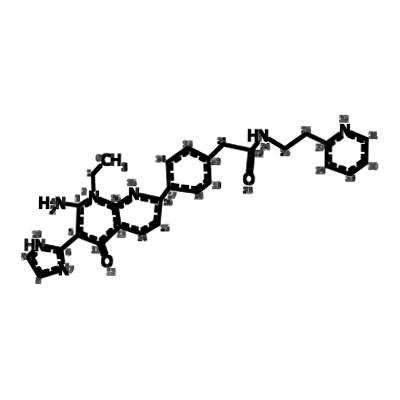 CCn1c(N)c(-c2ncc[nH]2)c(=O)c2ccc(-c3ccc(CC(=O)NCCc4ccccn4)cc3)nc21